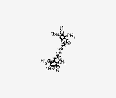 Cc1cc(C(C)(C)C)c(O)c(C)c1CC(=O)OCCSCCOC(=O)Cc1c(C)cc(C(C)(C)C)c(O)c1C